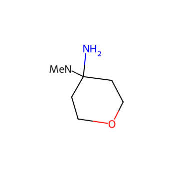 CNC1(N)CCOCC1